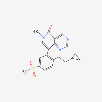 Cn1cc(-c2cc(S(C)(=O)=O)ccc2CCC2CC2)c2ncncc2c1=O